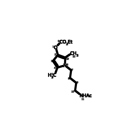 CCOC(=O)Oc1cc(C)n(CCCCNC(C)=O)c1C